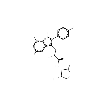 C[C@@H](Cc1c(-c2ccc(F)cc2)[nH]c2c(F)cc(F)cc12)C(=O)N[C@@H]1C(O)NC[C@H]1O